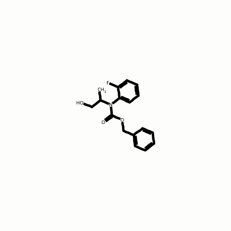 CC(CO)N(C(=O)OCc1ccccc1)c1ccccc1F